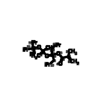 C=C(C)C(=O)O[Si](CC(C)C)(CC(C)C)O[Si](C)(C)O[Si](C(C)C)(C(C)C)C(C)C